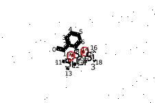 C=Cc1ccccc1[Si](O[Si](C)(C)C)(O[Si](C)(C)C)C(F)(F)F